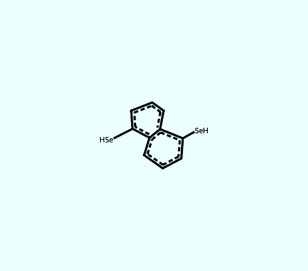 [SeH]c1cccc2c([SeH])cccc12